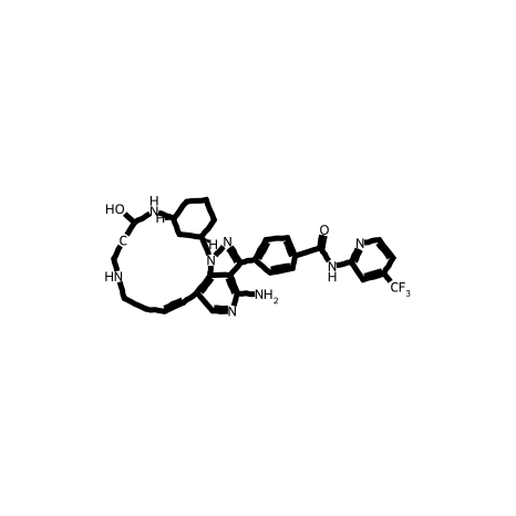 Nc1ncc2c3c1c(-c1ccc(C(=O)Nc4cc(C(F)(F)F)ccn4)cc1)nn3[C@@H]1CCC[C@H](C1)NC(O)CCNCC/C=C/2